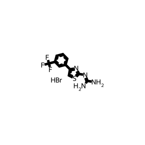 Br.NC(N)=Nc1nc(-c2cccc(C(F)(F)F)c2)cs1